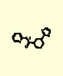 O=C(Nc1ccccn1)C1CCCC(c2nccs2)C1